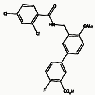 COc1ccc(-c2ccc(F)c(C(=O)O)c2)cc1CNC(=O)c1ccc(Cl)cc1Cl